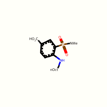 CCCCCCCCNc1ccc(C(=O)O)cc1S(=O)(=O)NC